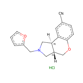 Cl.N#Cc1ccc2c(c1)[C@@H]1CN(Cc3ccco3)C[C@H]1CO2